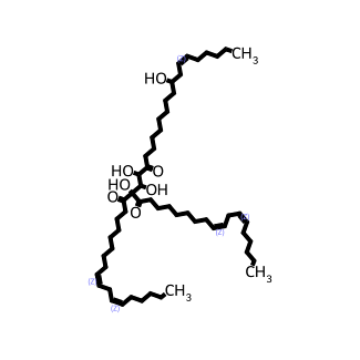 CCCCC/C=C\C/C=C\CCCCCCCC(=O)C(O)(C(=O)CCCCCCC/C=C\C/C=C\CCCCC)C(O)C(O)C(=O)CCCCCCCCC(O)C/C=C\CCCCC